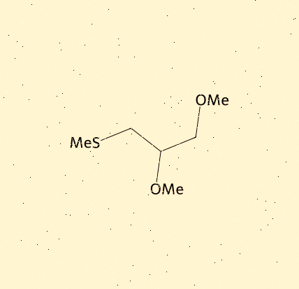 COCC(CSC)OC